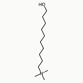 C[N+](C)(C)CCCCCCCCCCO